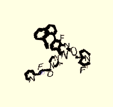 C#Cc1cccc2cccc(-c3ccc4c(N5CCN(C(=O)/C(F)=C/c6ccccn6)C[C@@H]5C)nc(OC[C@@]56CCCN5C[C@H](F)C6)nc4c3F)c12